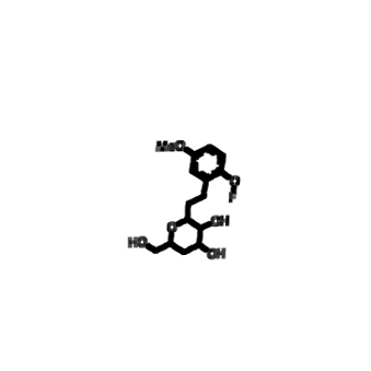 COc1ccc(OF)c(CCC2OC(CO)CC(O)C2O)c1